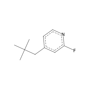 CC(C)(C)Cc1ccnc(F)c1